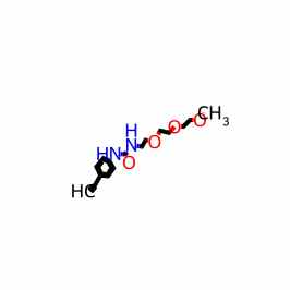 C#Cc1ccc(NC(=O)NCCOCCOCCOC)cc1